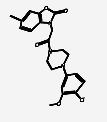 COc1cc(N2CCN(C(=O)Cn3c(=O)oc4cc(C)ccc43)CC2)ccc1Cl